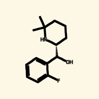 CC1(C)CCC[C@H](C(O)c2ccccc2F)N1